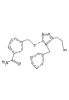 CC(C)Cc1nnc(SCc2cccc(C(N)=O)c2)n1Cc1ccccc1